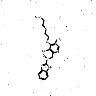 COCCOCCOc1c(C)cnc(C[S+]([O-])c2nc3ccccc3[nH]2)c1C